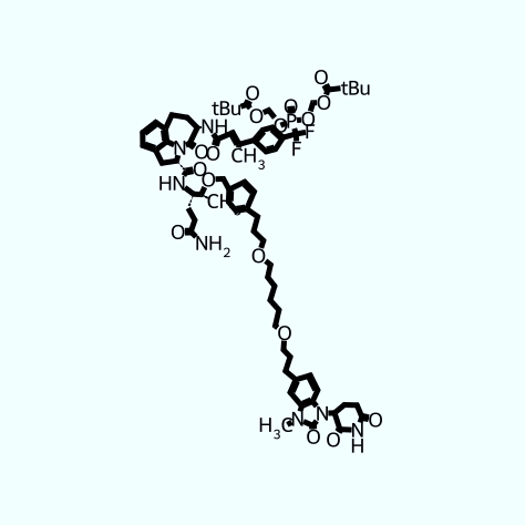 C/C(=C\C(=O)N[C@H]1CCc2cccc3c2N(C1=O)[C@H](C(=O)N[C@@H](CCC(N)=O)[C@@H](C)OCc1ccc(CCCOCCCCCCOCCCc2ccc4c(c2)n(C)c(=O)n4C2CCC(=O)NC2=O)cc1)C3)c1ccc(C(F)(F)P(=O)(OCOC(=O)C(C)(C)C)OCOC(=O)C(C)(C)C)cc1